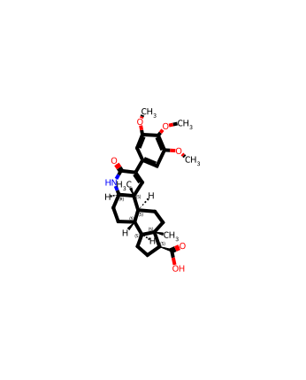 COc1cc(C2=C[C@@]3(C)[C@@H](CC[C@@H]4[C@@H]3CC[C@]3(C)[C@@H](C(=O)O)CC[C@@H]43)NC2=O)cc(OC)c1OC